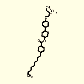 C=CCCCCCCCc1ccc(C(=O)Oc2cnc(-c3ccc(OC[C@@H](C)CC)cc3)cn2)cc1